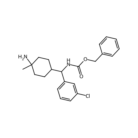 CC1(N)CCC(C(NC(=O)OCc2ccccc2)c2cccc(Cl)c2)CC1